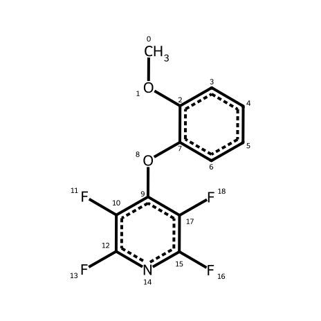 COc1ccccc1Oc1c(F)c(F)nc(F)c1F